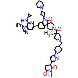 CC(C)n1cnc2cc(-c3ccc4c(c3)N([C@H]3C[C@@H](N5CCCCC5)C3)C(=O)C43CCN(C(=O)C4(C)CCN(CC5CCN(c6ccc(C7CCC(=O)NC7=O)cn6)CC5)CC4)CC3)nc(NC3CC3)c21